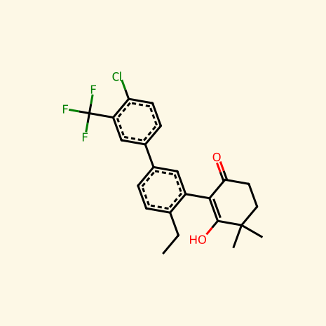 CCc1ccc(-c2ccc(Cl)c(C(F)(F)F)c2)cc1C1=C(O)C(C)(C)CCC1=O